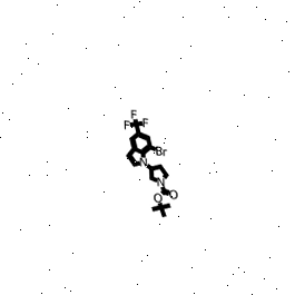 CC(C)(C)OC(=O)N1CCC(n2ccc3cc(C(F)(F)F)cc(Br)c32)C1